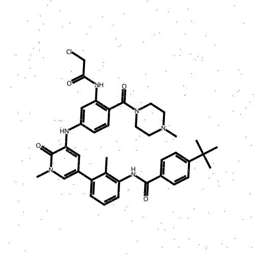 Cc1c(NC(=O)c2ccc(C(C)(C)C)cc2)cccc1-c1cc(Nc2ccc(C(=O)N3CCN(C)CC3)c(NC(=O)CCl)c2)c(=O)n(C)c1